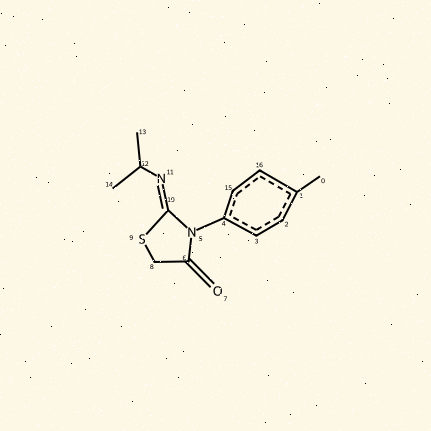 Cc1ccc(N2C(=O)CSC2=NC(C)C)cc1